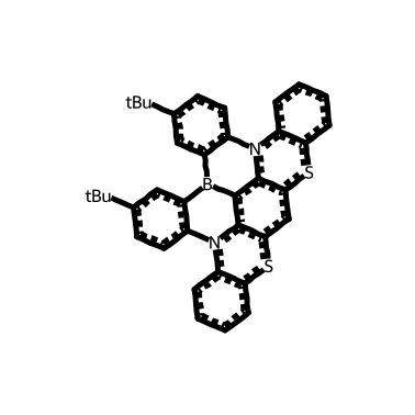 CC(C)(C)c1ccc2c(c1)B1c3cc(C(C)(C)C)ccc3-n3c4ccccc4sc4cc5sc6ccccc6n-2c5c1c43